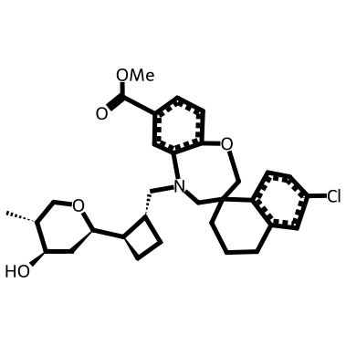 COC(=O)c1ccc2c(c1)N(C[C@@H]1CC[C@H]1[C@H]1C[C@@H](O)[C@H](C)CO1)CC1(CCCc3cc(Cl)ccc31)CO2